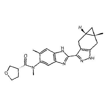 Cc1cc2[nH]c(-c3n[nH]c4c3C[C@@H]3C[C@]3(C)C4)nc2cc1N(C)C(=O)[C@@H]1CCOC1